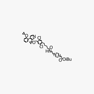 CC(C)COC(=O)CN1CCN(CCNC(=O)CCCCc2cc(Cl)c(COC3(c4cnccc4-c4ccccc4OC4CC4)CC3)cc2Cl)CC1